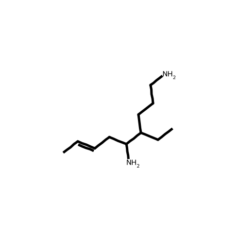 CC=CCC(N)C(CC)CCCN